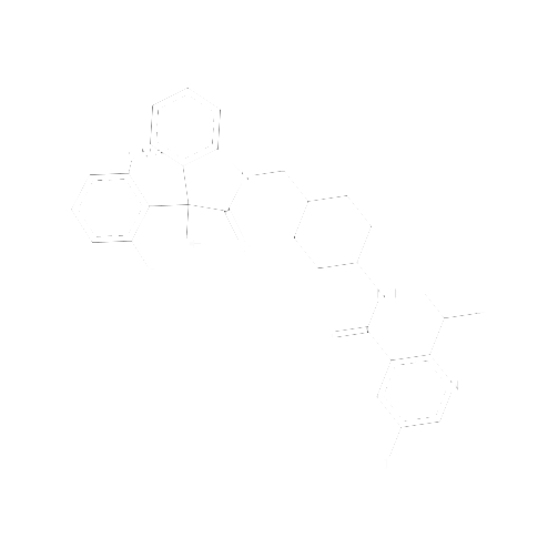 COc1cccc(F)c1C1(O)C(=O)N(CC2CCC(NC(=O)c3cc(Cl)cnc3C(F)F)CC2)c2ccccc21